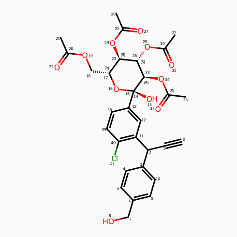 C#CC(c1ccc(CO)cc1)c1cc([C@]2(O)O[C@H](COC(C)=O)[C@@H](OC(C)=O)[C@H](OC(C)=O)[C@H]2OC(C)=O)ccc1Cl